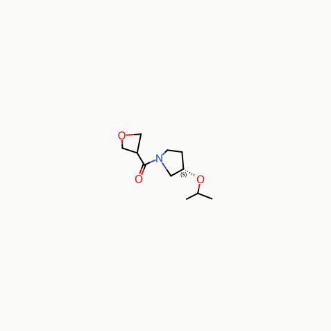 CC(C)O[C@H]1CCN(C(=O)C2COC2)C1